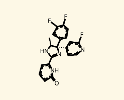 C[C@@H]1NC(c2cccc(=O)[nH]2)=N[C@]1(c1ccnc(F)c1)c1ccc(F)c(F)c1